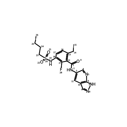 O=C(Nc1cnc2[nH]ncc2c1)c1c(CI)ccc(NS(=O)(=O)CCCF)c1F